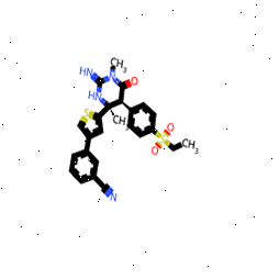 CCS(=O)(=O)c1ccc([C@@H]2C(=O)N(C)C(=N)N[C@]2(C)c2cc(-c3cccc(C#N)c3)cs2)cc1